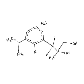 C[C@@H](N)c1cccc(C(F)(F)C(C)(O)CO)c1F.Cl